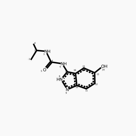 CC(C)NC(=O)Nc1[nH]nc2ccc(O)cc12